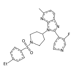 CCc1ccc(S(=O)(=O)N2CCC(n3c(-c4ccncc4F)nc4ccc(C)nc43)CC2)cc1